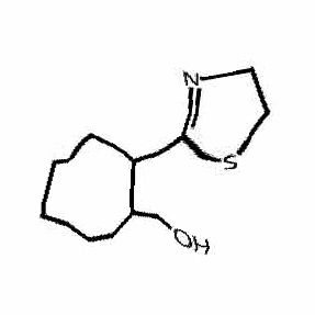 OC1CCCCC1C1=NCCS1